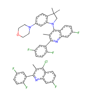 Cc1c(-c2cc(F)ccc2F)nc2cc(F)ccc2c1Cl.Cc1c(-c2cc(F)ccc2F)nc2cc(F)ccc2c1N1CC(C)(C)c2ccc(N3CCOCC3)cc21